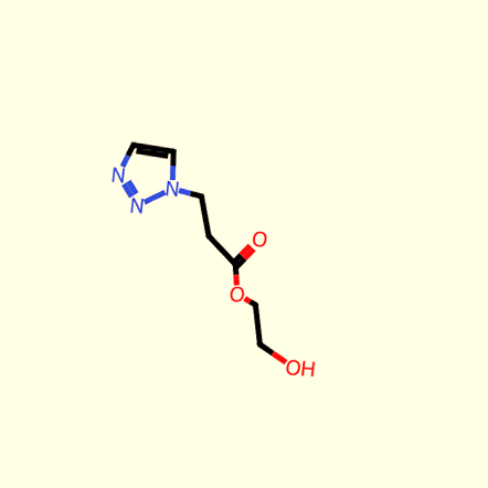 O=C(CCn1ccnn1)OCCO